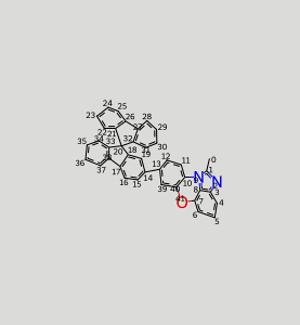 Cc1nc2cccc3c2n1-c1ccc(-c2ccc4c(c2)C2(c5ccccc5-c5ccccc52)c2ccccc2-4)cc1O3